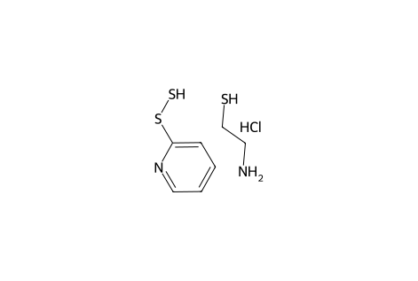 Cl.NCCS.SSc1ccccn1